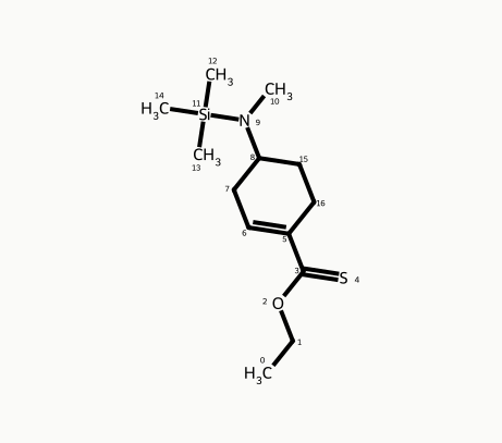 CCOC(=S)C1=CCC(N(C)[Si](C)(C)C)CC1